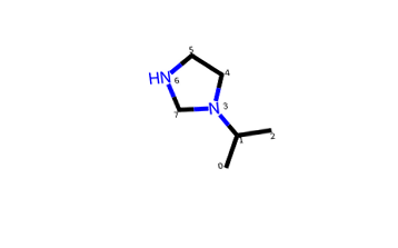 CC(C)N1CCNC1